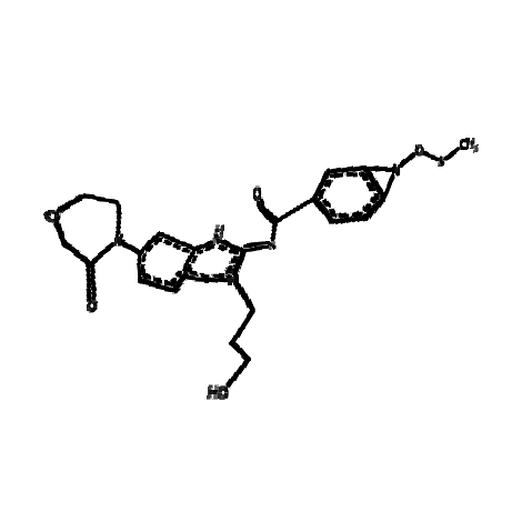 CSON1c2ccc(C(=O)/N=c3\[nH]c4cc(N5CCOCC5=O)ccc4n3CCCO)cc21